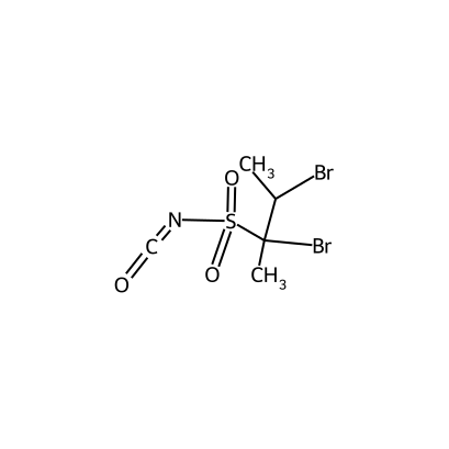 CC(Br)C(C)(Br)S(=O)(=O)N=C=O